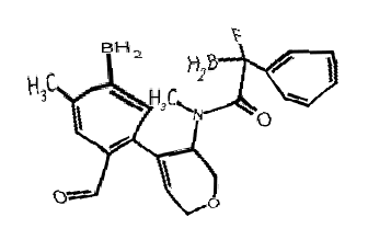 Bc1cc(C2=CCOCC2N(C)C(=O)C(B)(F)c2ccccc2)c(C=O)cc1C